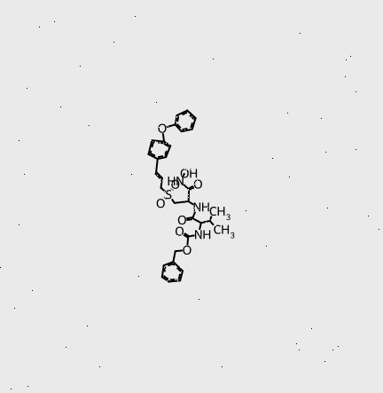 CC(C)C(NC(=O)OCc1ccccc1)C(=O)NC(CS(=O)(=O)CC=Cc1ccc(Oc2ccccc2)cc1)C(=O)NO